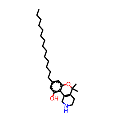 CCCCCCCCCCCCCCc1cc(O)c2c(c1)OC(C)(C)C1=C2CNCC1